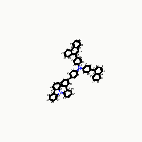 c1cc(-c2ccc(N(c3ccc(-c4cccc5ccccc45)cc3)c3ccc(-c4cc5ccccc5c5ccccc45)cc3)cc2)cc(-c2ccccc2-n2c3ccccc3c3ccccc32)c1